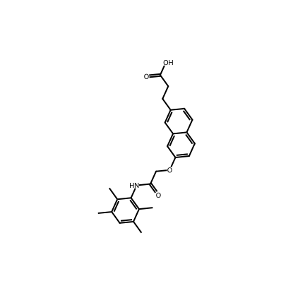 Cc1cc(C)c(C)c(NC(=O)COc2ccc3ccc(CCC(=O)O)cc3c2)c1C